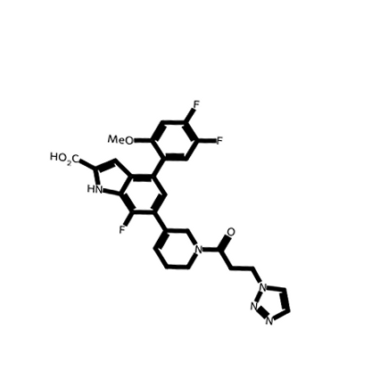 COc1cc(F)c(F)cc1-c1cc(C2=CCCN(C(=O)CCn3ccnn3)C2)c(F)c2[nH]c(C(=O)O)cc12